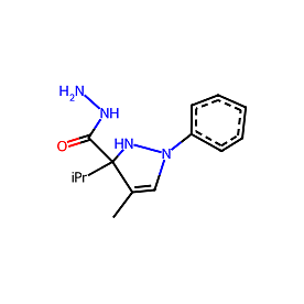 CC1=CN(c2ccccc2)NC1(C(=O)NN)C(C)C